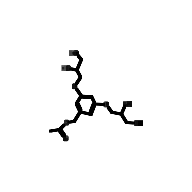 CC(=O)OCc1cc(OCC(O)CO)cc(OCC(O)CO)c1